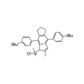 CC1=Cc2c(-c3ccc(C(C)(C)C)cc3)c3c(c(-c4ccc(C(C)(C)C)cc4)c2C1[Si](C)(C)Cl)CCC3